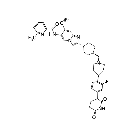 CC(C)Oc1cc2nc([C@H]3CC[C@H](CN4CCC(c5ccc(C6CCC(=O)NC6=O)cc5F)CC4)CC3)cn2cc1NC(=O)c1cccc(C(F)(F)F)n1